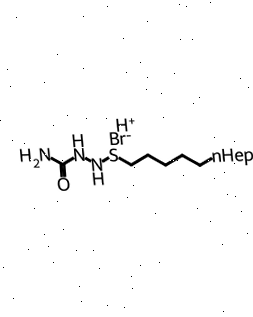 CCCCCCCCCCCCSNNC(N)=O.[Br-].[H+]